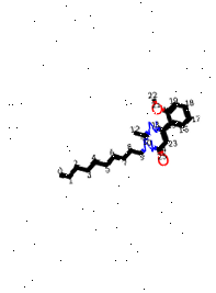 CCCCCCCCCCn1c(C)nc(-c2ccccc2OC)cc1=O